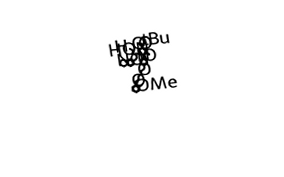 COc1ccccc1COCCCOc1ccc(N2C(=O)CN(C(=O)OC(C)(C)C)C[C@@H]2C(CCO)Oc2ccc3c(c2)NCCC3)cc1